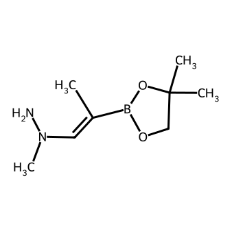 C/C(=C\N(C)N)B1OCC(C)(C)O1